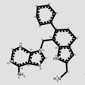 NCc1cc2ccc(-c3ccccc3)c(Cn3cnc4c(N)ncnc43)c2[nH]1